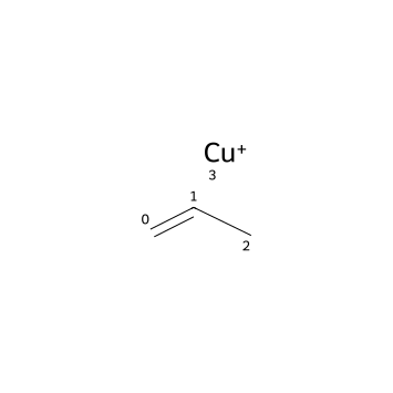 C=CC.[Cu+]